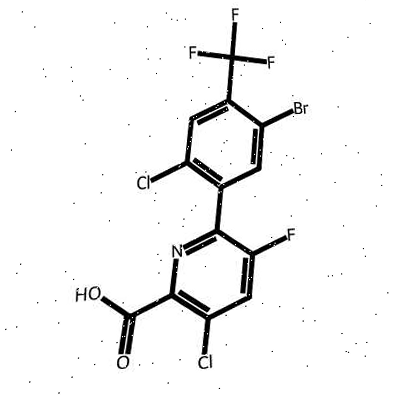 O=C(O)c1nc(-c2cc(Br)c(C(F)(F)F)cc2Cl)c(F)cc1Cl